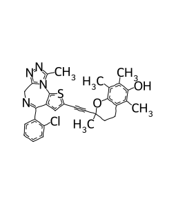 Cc1c(C)c2c(c(C)c1O)CCC(C)(C#Cc1cc3c(s1)-n1c(C)nnc1CN=C3c1ccccc1Cl)O2